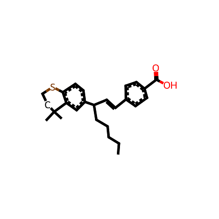 CCCCCC(C=Cc1ccc(C(=O)O)cc1)c1ccc2c(c1)C(C)(C)CCS2